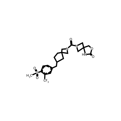 CS(=O)(=O)c1ccc(CC2CCC3(C2)CN(C(=O)N2CC4(COC(=O)N4)C2)C3)cc1C(F)(F)F